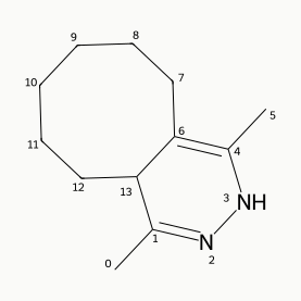 CC1=NNC(C)=C2CCCCCCC12